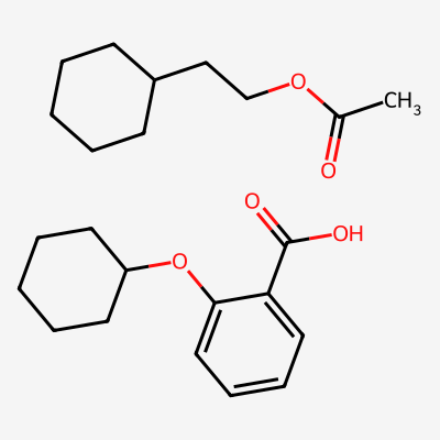 CC(=O)OCCC1CCCCC1.O=C(O)c1ccccc1OC1CCCCC1